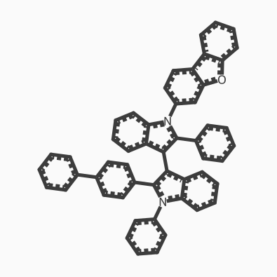 c1ccc(-c2ccc(-c3c(-c4c(-c5ccccc5)n(-c5ccc6c(c5)oc5ccccc56)c5ccccc45)c4ccccc4n3-c3ccccc3)cc2)cc1